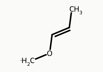 [CH2]O/C=C/C